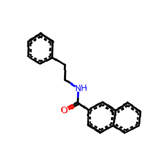 O=C(NCCc1ccccc1)c1ccc2ccccc2c1